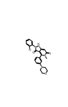 Cn1c(-c2cccc(N3CCOCC3)c2)c2c(=O)n(-c3ccccc3Cl)[nH]c2cc1=O